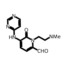 CNCCn1c(C=O)ccc(Nc2ccncn2)c1=O